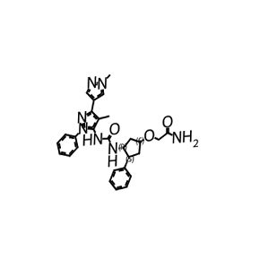 Cc1c(-c2cnn(C)c2)nn(-c2ccccc2)c1NC(=O)N[C@@H]1C[C@@H](OCC(N)=O)C[C@H]1c1ccccc1